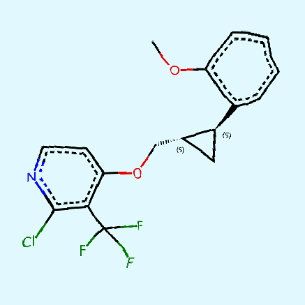 COc1ccccc1[C@H]1C[C@@H]1COc1ccnc(Cl)c1C(F)(F)F